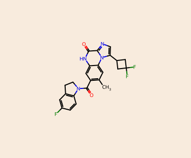 Cc1cc2c(cc1C(=O)N1CCc3cc(F)ccc31)[nH]c(=O)c1ncc(C3CC(F)(F)C3)n12